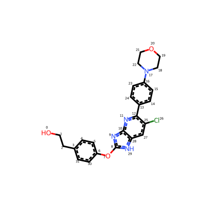 OCCc1ccc(Oc2nc3nc(-c4ccc(N5CCOCC5)cc4)c(Cl)cc3[nH]2)cc1